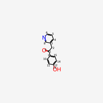 O=C(Cc1cccnc1)c1ccc(O)cc1